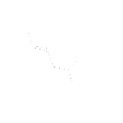 CC=CCC(C(=O)O)C(=O)OCC